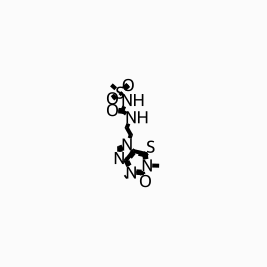 Cn1c(=S)c2c(ncn2CCNC(=O)NS(C)(=O)=O)n(C)c1=O